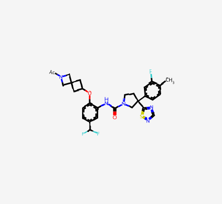 CC(=O)N1CC2(CC(Oc3ccc(C(F)F)cc3NC(=O)N3CCC(c4ccc(C)c(F)c4)(c4ncns4)C3)C2)C1